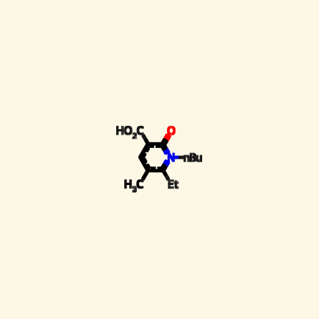 CCCCn1c(CC)c(C)cc(C(=O)O)c1=O